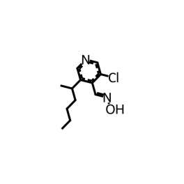 CCCCC(C)c1cncc(Cl)c1/C=N/O